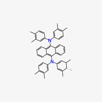 CC1=CC(N(c2ccc(C)c(C)c2)c2c3ccccc3c(N(c3ccc(C)c(C)c3)c3ccc(C)c(C)c3)c3ccccc23)=CC(C)[C@@H]1C